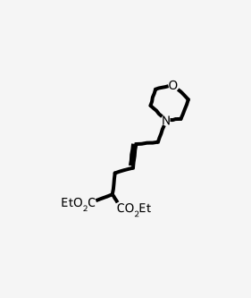 CCOC(=O)C(C/C=C/CN1CCOCC1)C(=O)OCC